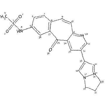 CS(=O)(=O)Nc1ccc2ccc3ncc(-c4cn5[n+](c4)CCC5)cc3c(=O)c2c1